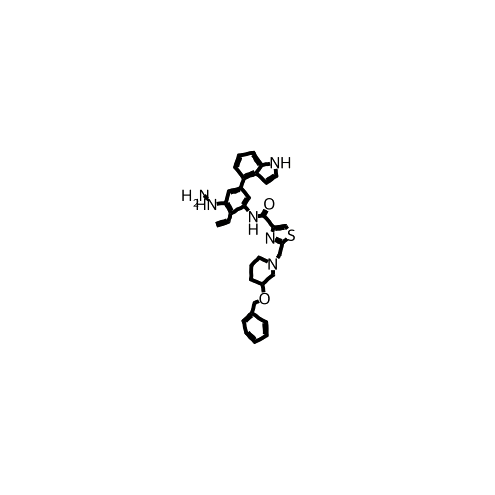 C=Cc1c(NN)cc(-c2cccc3[nH]ccc23)cc1NC(=O)c1csc(CN2CCCC(OCc3ccccc3)C2)n1